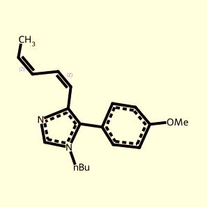 C/C=C\C=C/c1ncn(CCCC)c1-c1ccc(OC)cc1